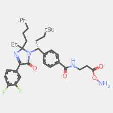 CCC1(CCCC(C)C)N=C(c2ccc(F)c(F)c2)C(=O)N1[C@H](CCC(C)(C)C)c1ccc(C(=O)NCCC(=O)ON)cc1